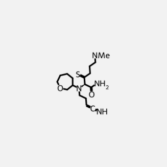 CNCCCC(=S)[C@@H](C(N)=O)N(CCC=C=N)C1CCCCOC1